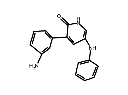 Nc1cccc(-c2cc(Nc3ccccc3)c[nH]c2=O)c1